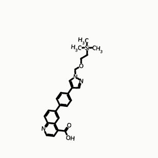 C[Si](C)(C)CCOCn1cc(-c2ccc(-c3ccc4nccc(C(=O)O)c4c3)cc2)cn1